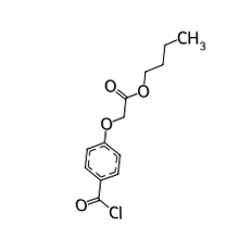 CCCCOC(=O)COc1ccc(C(=O)Cl)cc1